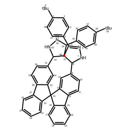 CC(C)(C)c1ccc(C2=NNC(c3ccc4c(c3)C3(c5ccccc5-4)c4ccccc4-c4ccc(C5CC(c6ccc(C(C)(C)C)cc6)NN5)cc43)C2)cc1